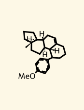 COc1ccc(C2CCCC3=CC[C@@H]4[C@H](CC[C@]5(C)CCC[C@@H]45)[C@H]32)cc1